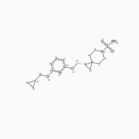 NS(=O)(=O)N1CCC2(CC1)C[C@@H]2COc1cccc(OCC2CC2)n1